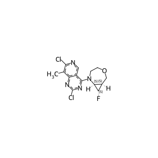 Cc1c(Cl)ncc2c(N3CCOC[C@H]4[C@H](F)[C@H]43)nc(Cl)nc12